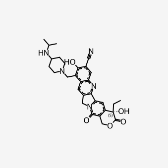 CC[C@@]1(O)C(=O)OCc2c1cc1n(c2=O)Cc2cc3c(CN4CCC(NC(C)C)CC4)c(O)c(C#N)cc3nc2-1